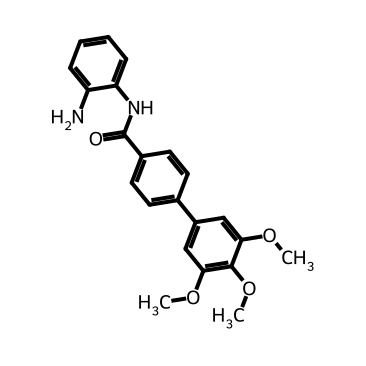 COc1cc(-c2ccc(C(=O)Nc3ccccc3N)cc2)cc(OC)c1OC